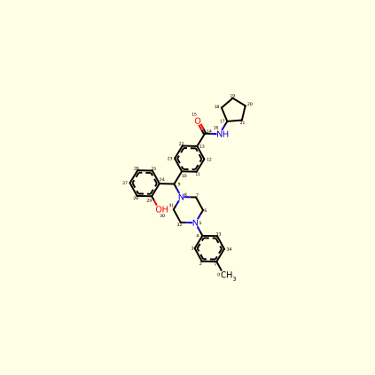 Cc1ccc(N2CCN(C(c3ccc(C(=O)NC4CCCC4)cc3)c3ccccc3O)CC2)cc1